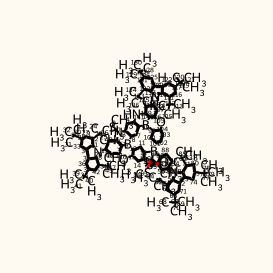 CSN1c2cc3c(cc2B2c4cc5c(cc4Oc4cc(-n6c7c(C(C)(C)C)cc(C(C)(C)C)cc7c7cc(C(C)(C)C)cc(C(C)(C)C)c76)cc1c42)N(SC)c1cc(-n2c4c(C(C)(C)C)cc(C(C)(C)C)cc4c4cc(C(C)(C)C)cc(C(C)(C)C)c42)cc2c1B5c1ccccc1O2)B1c2ccccc2Oc2cc(-n4c5c(C(C)(C)C)cc(C(C)(C)C)cc5c5cc(C(C)(C)C)cc(C(C)(C)C)c54)cc(c21)N3